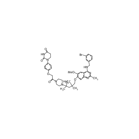 COc1cc2c(NCc3cccc(Br)c3)nc(C)nc2cc1OCC(C)(C)CC(C)(C)N1CCN(C(=O)COc2ccc(N3CCC(=O)NC3=O)cc2)CC1